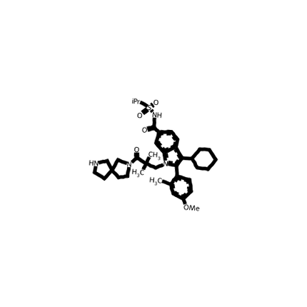 COc1ccc(-c2c(C3CCCCC3)c3ccc(C(=O)NS(=O)(=O)C(C)C)cc3n2CC(C)(C)C(=O)N2CCC3(CCNC3)C2)c(C)c1